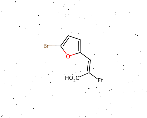 CCC(=Cc1ccc(Br)o1)C(=O)O